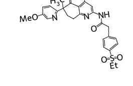 CCS(=O)(=O)c1ccc(CC(=O)Nc2cc(C)c3c(n2)CCC(C)(c2ccc(OC)cn2)C3=O)cc1